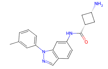 Cc1cccc(-n2ncc3ccc(NC(=O)[C@H]4C[C@@H](N)C4)cc32)c1